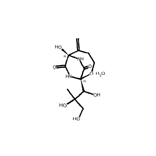 C=C1CCO[C@]2(C(O)C(C)(O)CO)NC(=O)[C@@]1(O)NC2=O.O